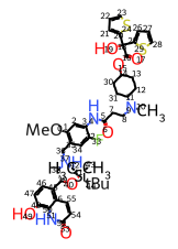 COc1cc(NC(=O)CCN(C)[C@H]2CC[C@H](OC(=O)C(O)(c3cccs3)c3cccs3)CC2)c(F)cc1CNC[C@H](O[Si](C)(C)C(C)(C)C)c1ccc(O)c2[nH]c(=O)ccc12